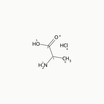 CC(N)C(=O)O.Cl